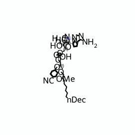 CCCCCCCCCCCCCCCCCCOC[C@H](COP(=O)(O)OC[C@H]1O[C@@](/C=N\C)(c2ccc3c(N)ncnn23)[C@H](O)[C@@H]1O)Oc1ccc(C#N)c(OC)c1